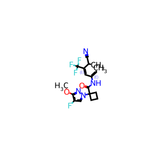 C/C=C(\C=C(/C(C)C#N)C(F)(F)F)NC(=O)C1(n2cc(F)c(OC)n2)CCC1